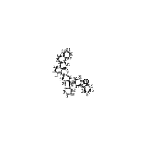 c1ccc(N(c2ccc(-c3cccc4c3ccc3c5ccccc5ccc43)cc2)c2ccc3oc4ccccc4c3c2)cc1